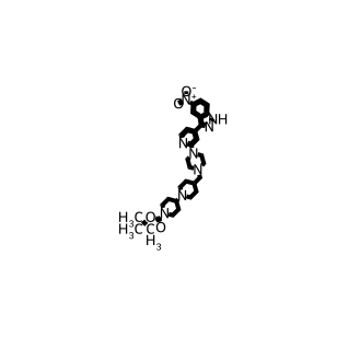 CC(C)(C)OC(=O)N1CCC(N2CCC(CN3CCN(c4cc(-c5n[nH]c6ccc([N+](=O)[O-])cc56)ccn4)CC3)CC2)CC1